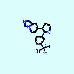 [2H]C([2H])([2H])c1cccc(-c2ncccc2-c2ccn3cncc3c2)c1